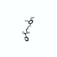 O=C(NCCCOc1ccc(O)c(Cl)c1)c1ccco1